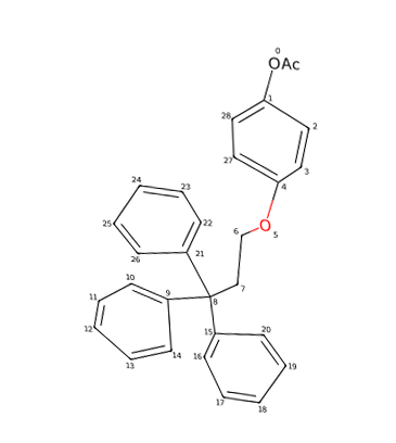 CC(=O)Oc1ccc(OCCC(c2ccccc2)(c2ccccc2)c2ccccc2)cc1